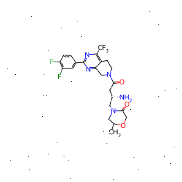 CC1CN(C[C@@H](N)CC(=O)N2CCc3c(nc(-c4ccc(F)c(F)c4)nc3C(F)(F)F)C2)C(=O)CO1